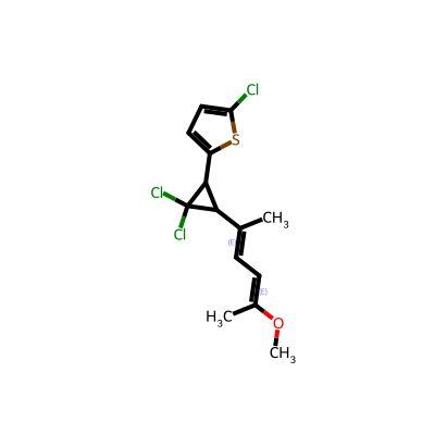 CO/C(C)=C/C=C(\C)C1C(c2ccc(Cl)s2)C1(Cl)Cl